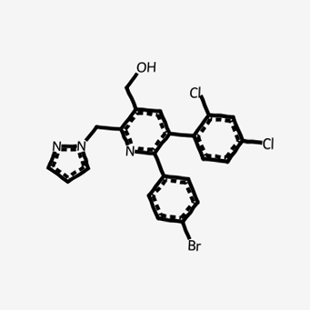 OCc1cc(-c2ccc(Cl)cc2Cl)c(-c2ccc(Br)cc2)nc1Cn1cccn1